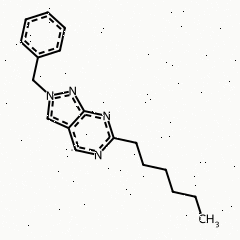 CCCCCCc1n[c]c2cn(Cc3ccccc3)nc2n1